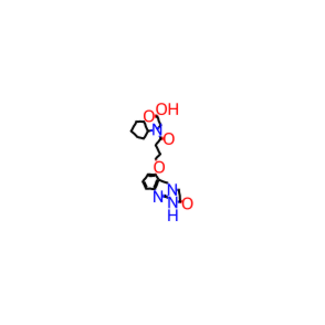 O=C(O)CN(C(=O)CCCOc1cccc2c1CN1CC(=O)NC1=N2)C1CCCCC1